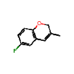 CC1=Cc2cc(F)ccc2OC1